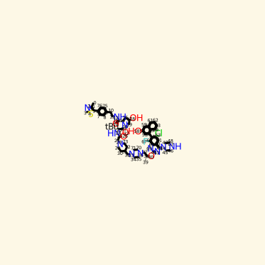 Cc1ncsc1-c1ccc(CCNC(=O)[C@@H]2C[C@H](O)CN2C(=O)[C@@H](NC(=O)CN2CCC(CN3CCN(C[C@@H](C)Oc4nc(N5CCNCC5)c5cc(Cl)c(-c6cc(O)cc7ccccc67)c(F)c5n4)CC3)CC2)C(C)(C)C)cc1